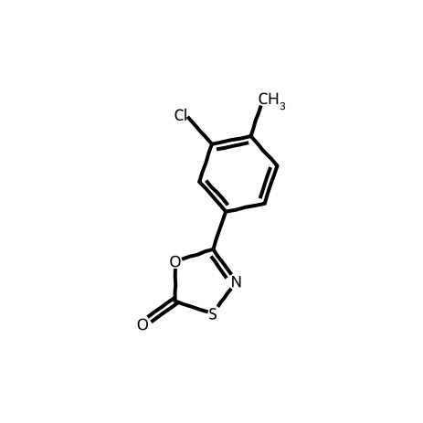 Cc1ccc(-c2nsc(=O)o2)cc1Cl